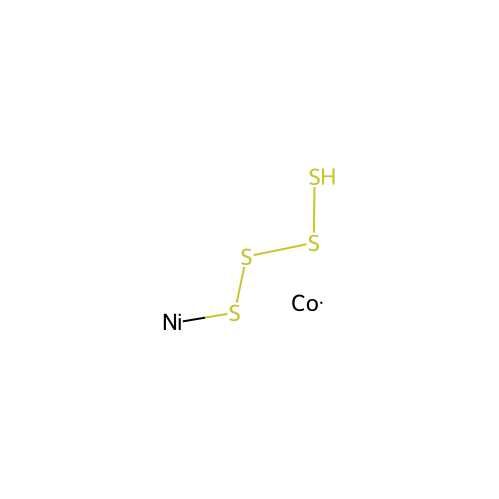 SSS[S][Ni].[Co]